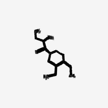 CCC(O)C(=O)N1CCC(CC)C(CC)C1